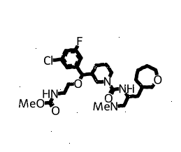 CNCC(CC1CCCCOC1)NC(=O)N1CCCC(C(OCCNC(=O)OC)c2cc(F)cc(Cl)c2)C1